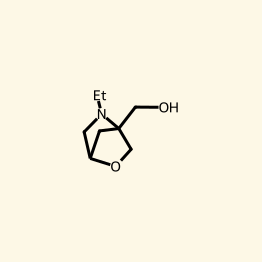 CCN1CC2CC1(CO)CO2